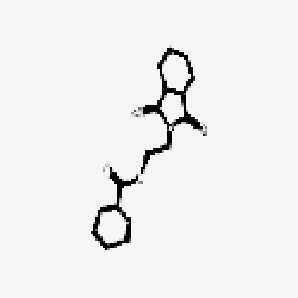 O=C(OCCN1C(=O)C2CCCCC2C1=O)C1CCCCC1